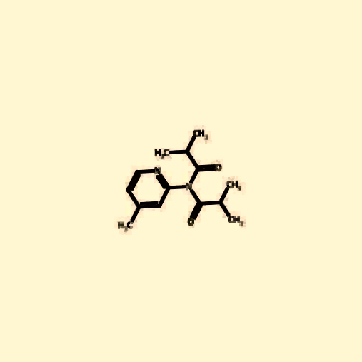 Cc1ccnc(N(C(=O)C(C)C)C(=O)C(C)C)c1